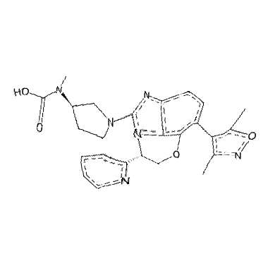 Cc1noc(C)c1-c1ccc2nc(N3CC[C@@H](N(C)C(=O)O)C3)n3c2c1OC[C@@H]3c1ccccn1